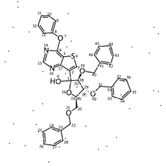 OC1(c2csc3c(Oc4ccccc4)ncnc23)O[C@H](COCc2ccccc2)[C@@H](OCc2ccccc2)[C@@H]1OCc1ccccc1